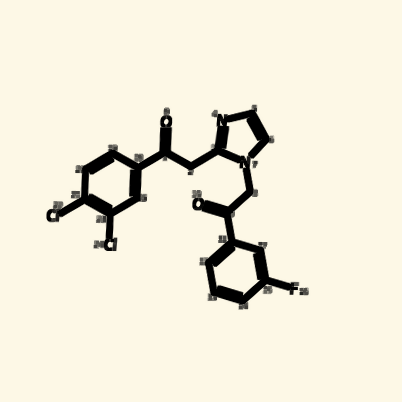 O=C(Cc1nccn1CC(=O)c1cccc(F)c1)c1ccc(Cl)c(Cl)c1